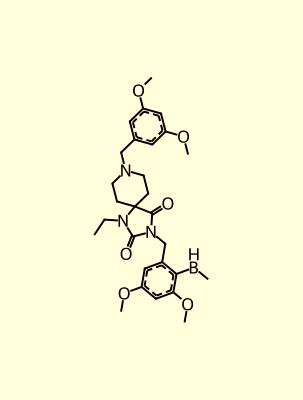 CBc1c(CN2C(=O)N(CC)C3(CCN(Cc4cc(OC)cc(OC)c4)CC3)C2=O)cc(OC)cc1OC